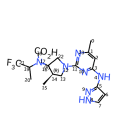 Cc1cc(Nc2cc[nH]n2)nc(N2C[C@@H](C)[C@@H](N(C(=O)O)C(C)C(F)(F)F)C2)n1